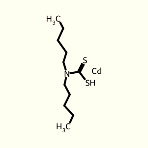 CCCCCN(CCCCC)C(=S)S.[Cd]